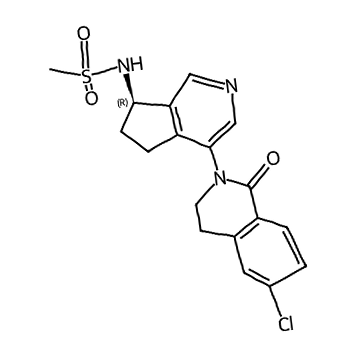 CS(=O)(=O)N[C@@H]1CCc2c1cncc2N1CCc2cc(Cl)ccc2C1=O